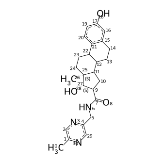 Cc1cnc(CNC(=O)C2CC3C4CCc5cc(O)ccc5C4CC[C@]3(C)[C@H]2O)cn1